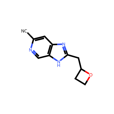 N#Cc1cc2nc(CC3CCO3)[nH]c2cn1